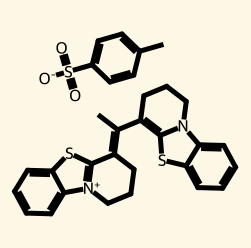 CC(C1=C2Sc3ccccc3N2CCC1)=C1CCC[n+]2c1sc1ccccc12.Cc1ccc(S(=O)(=O)[O-])cc1